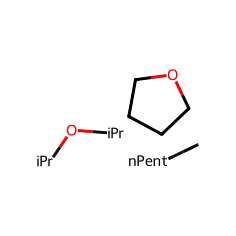 C1CCOC1.CC(C)OC(C)C.CCCCCC